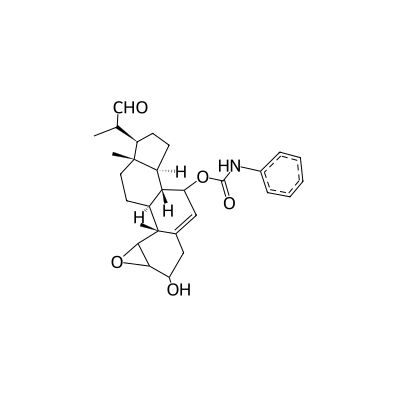 CC(C=O)[C@H]1CC[C@H]2[C@@H]3C(OC(=O)Nc4ccccc4)C=C4CC(O)C5OC5[C@]4(C)[C@H]3CC[C@]12C